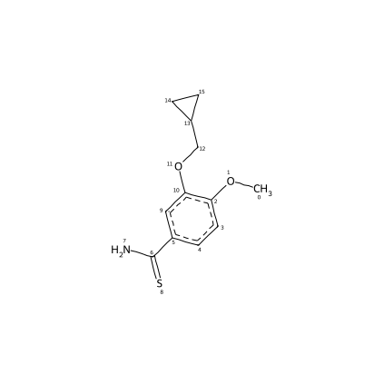 COc1ccc(C(N)=S)[c]c1OCC1CC1